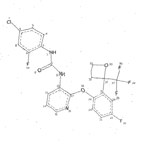 O=C(Nc1ccc(Cl)cc1F)Nc1cccnc1Oc1ccc(F)cc1C1(C(F)(F)F)CCO1